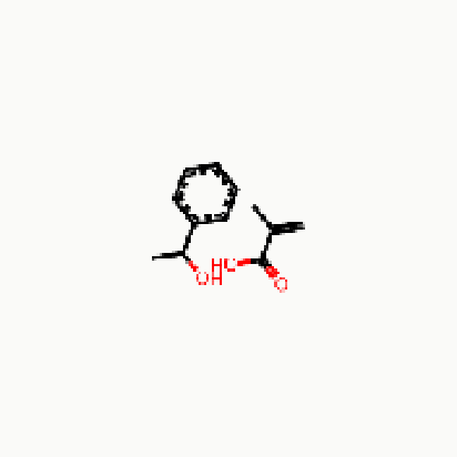 C=C(C)C(=O)O.CC(O)c1ccccc1